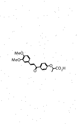 COc1ccc(/C=C/C(=O)c2ccc(OC(C)C(=O)O)cc2)cc1OC